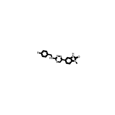 Cn1c(=O)[nH]c2cc(C3=NN=C(NCc4ccc(F)cc4)SC3)ccc21